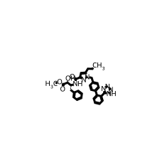 CCCc1cc(C(=O)N[C@H](Cc2ccccc2)[C@@H](O)C(=O)OC)nn1Cc1ccc(-c2ccccc2-c2nnn[nH]2)cc1